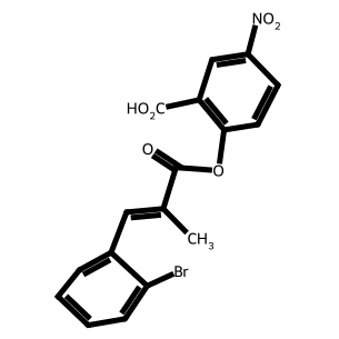 CC(=Cc1ccccc1Br)C(=O)Oc1ccc([N+](=O)[O-])cc1C(=O)O